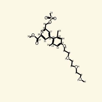 COCCOCCOCCOc1cc(C)c(-c2cc(COS(C)(=O)=O)nc(C(=O)OC)c2)c(C)c1